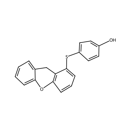 Oc1ccc(Sc2cccc3c2Cc2ccccc2O3)cc1